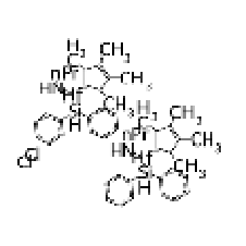 CCC[NH][Hf+]([C]1=C(C)C(C)=C(C)C1C)[SiH](c1ccccc1)c1ccccc1.CCC[NH][Hf+]([C]1=C(C)C(C)=C(C)C1C)[SiH](c1ccccc1)c1ccccc1.[Cl-].[Cl-]